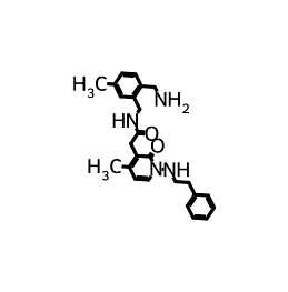 Cc1ccc(CN)c(CNC(=O)Cc2c(C)ccn(NCCc3ccccc3)c2=O)c1